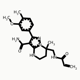 C=CC(=O)NCC1(C)CCNc2c(C(N)=O)c(-c3ccc(C)c(OC)c3)nn21